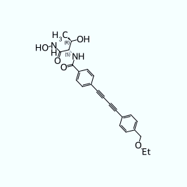 CCOCc1ccc(C#CC#Cc2ccc(C(=O)N[C@H](C(=O)NO)[C@@H](C)O)cc2)cc1